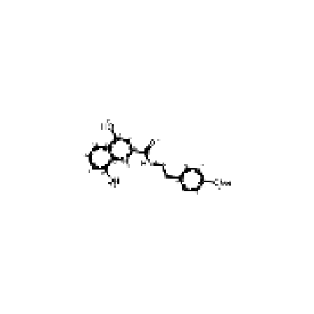 COc1ccc(CCNC(=O)c2cc(O)c3cccc(O)c3n2)cc1